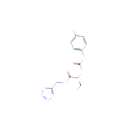 CC(C)C[C@H](OC(=O)Nc1ccc(Br)cc1)C(=O)NCc1nnn[nH]1